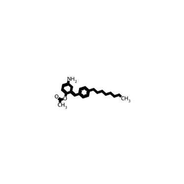 CCCCCCCCc1ccc(C=C2CC(N)=CC=C2OC(C)=O)cc1